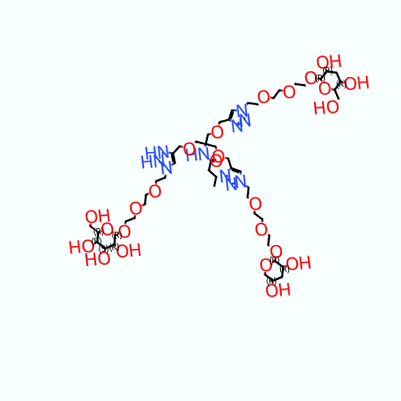 CCCC(=O)NC(COCC1=CN(CCOCCOCCO[C@@H]2O[C@H](CO)[C@H](O)[C@H](O)[C@H]2O)NN1)(COCc1cn(CCOCCOCCO[C@@H]2OC[C@H](O)C[C@H]2O)nn1)COCc1cn(CCOCCOCCO[C@@H]2OC(CO)[C@H](O)C[C@H]2O)nn1